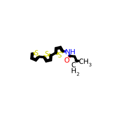 C=C(C)CC(=O)Nc1ccc(-c2ccc(-c3cccs3)s2)s1